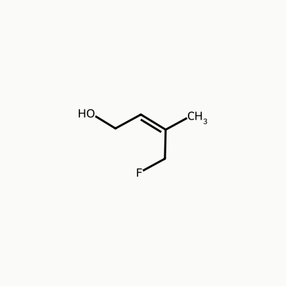 CC(=CCO)CF